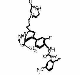 Nc1ncnn2c(CCCN3CCNC(=O)C3)cc(-c3ccc(NC(=O)Nc4cc(C(F)(F)F)ccc4F)c(F)c3)c12